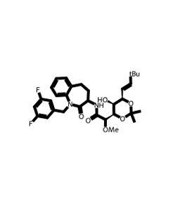 COC(C(=O)NC1CCc2ccccc2N(Cc2cc(F)cc(F)c2)C1=O)[C@@H]1OC(C)(C)O[C@H](/C=C/C(C)(C)C)[C@@H]1O